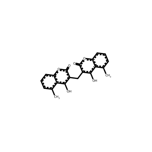 Cc1cccc2oc(=O)c(Cc3c(O)c4c(C)cccc4oc3=O)c(O)c12